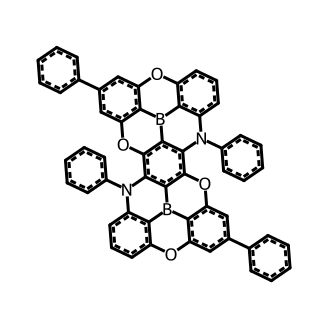 c1ccc(-c2cc3c4c(c2)Oc2c5c(c6c7c2N(c2ccccc2)c2cccc8c2B7c2c(cc(-c7ccccc7)cc2O6)O8)N(c2ccccc2)c2cccc(c2B45)O3)cc1